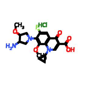 COc1c(N2CC(N)C(OC)C2)c(F)cc2c(=O)c(C(=O)O)cn(C3CC3)c12.Cl